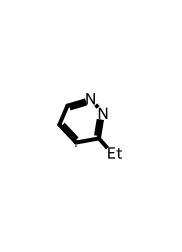 CCc1[c]ccnn1